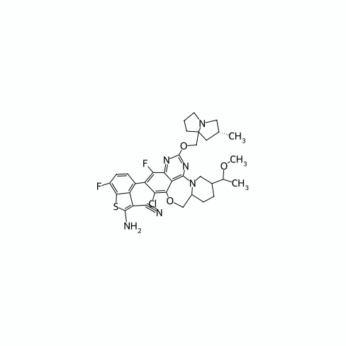 COC(C)C1CCC2COc3c(Cl)c(-c4ccc(F)c5sc(N)c(C#N)c45)c(F)c4nc(OCC56CCCN5C[C@H](C)C6)nc(c34)N2C1